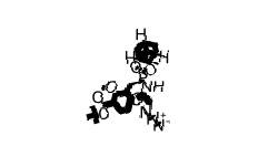 COc1c(C[C@H](NC(=O)CN=[N+]=[N-])B2O[C@@H]3C[C@@H]4C[C@@H](C4(C)C)[C@]3(C)O2)cccc1C(=O)OC(C)(C)C